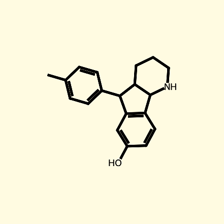 Cc1ccc(C2c3cc(O)ccc3C3NCCCC32)cc1